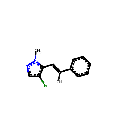 Cn1ncc(Br)c1/C=C(\C#N)c1ccccc1